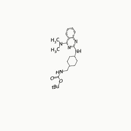 CN(C)c1nc(NC2CCC(CNC(=O)OC(C)(C)C)CC2)nc2ccccc12